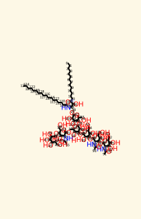 CCCCCCCCCCCCC/C=C/[C@@H](O)[C@H](CO[C@@H]1OC(CO)[C@@H](O[C@@H]2OC(CO[C@@H]3OC(CO)[C@@H](O[C@@H]4OC(CO)[C@H](O)[C@H](O)C4O)[C@H](O)C3NC(C)=O)[C@H](O)[C@H](O[C@H]3OC(CO)[C@H](O)[C@H](O[C@@H]4OC(CO)[C@H](O)[C@H](O[C@H]5OC(CO)[C@H](O)[C@H](O)C5NC(C)=O)C4NC(C)=O)C3O)C2O)[C@H](O)C1O)NC(=O)CCCCCCCCCCCCCCCCC